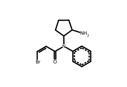 NC1CCCC1N(C(=O)/C=C\Br)c1ccccc1